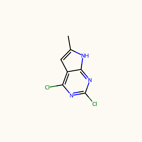 Cc1cc2c(Cl)nc(Cl)nc2[nH]1